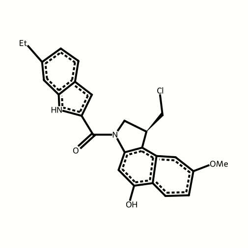 CCc1ccc2cc(C(=O)N3C[C@@H](CCl)c4c3cc(O)c3ccc(OC)cc43)[nH]c2c1